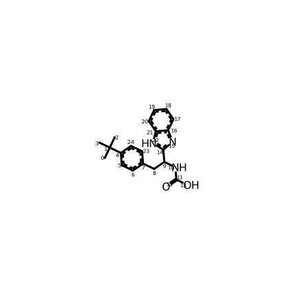 CC(C)(C)c1ccc(CC(NC(=O)O)c2nc3ccccc3[nH]2)cc1